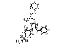 CN(CCC1CCCCO1)Cc1nc(Cc2ccccc2)n(-c2ccc(S(N)(=O)=O)cc2F)n1